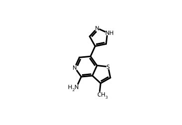 Cc1csc2c(-c3cn[nH]c3)cnc(N)c12